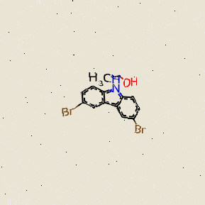 Brc1ccc2[nH]c3ccc(Br)cc3c2c1.CCO